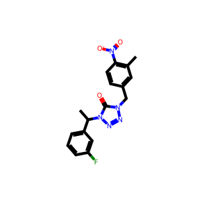 Cc1cc(Cn2nnn(C(C)c3cccc(F)c3)c2=O)ccc1[N+](=O)[O-]